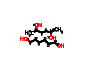 CC(O)CCC(C)O.OCCCCCCO